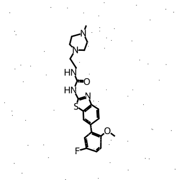 COc1ccc(F)cc1-c1ccc2nc(NC(=O)NCCN3CCN(C)CC3)sc2c1